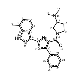 Cc1cccc2c(-c3nc(C(=O)N4CCC(N(C)C)C4)c(-c4cccnc4)s3)n[nH]c12